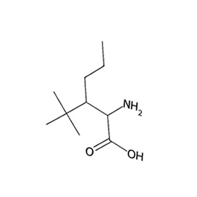 CCCC(C(N)C(=O)O)C(C)(C)C